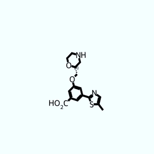 Cc1cnc(-c2cc(OC[C@H]3CNCCO3)cc(C(=O)O)c2)s1